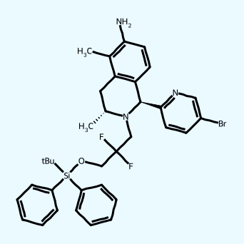 Cc1c(N)ccc2c1C[C@@H](C)N(CC(F)(F)CO[Si](c1ccccc1)(c1ccccc1)C(C)(C)C)[C@@H]2c1ccc(Br)cn1